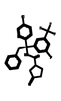 O=C1CCC(C(=O)N[C@](Cc2ccccc2)(c2cc(F)cc(C(F)(F)F)c2)c2ccc(Cl)cn2)C1